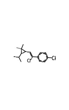 CC(C)C1C(/C=C(\Cl)c2ccc(Cl)cc2)C1(C)C